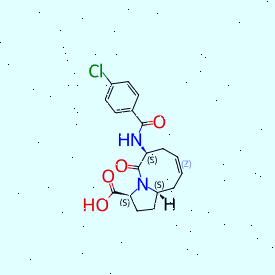 O=C(N[C@H]1C/C=C\C[C@@H]2CC[C@@H](C(=O)O)N2C1=O)c1ccc(Cl)cc1